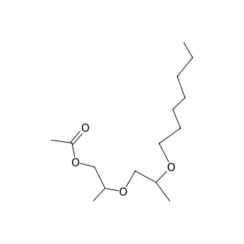 CCCCCCCOC(C)COC(C)COC(C)=O